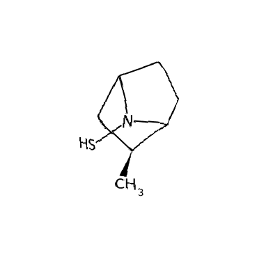 C[C@H]1CC2CCC1N2S